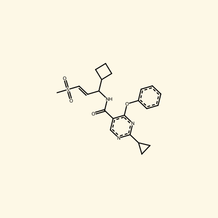 CS(=O)(=O)C=CC(NC(=O)c1cnc(C2CC2)nc1Oc1ccccc1)C1CCC1